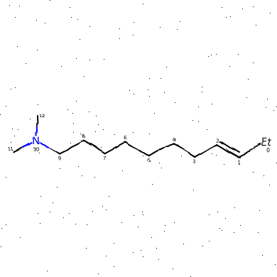 CCC=CCCCCCCCN(C)C